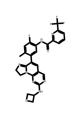 Cc1cc(F)c(NC(=O)c2cccc(C(F)(F)F)n2)cc1C1=Cc2cnc(NC3COC3)nc2N2CCN=C12